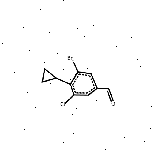 O=Cc1cc(Cl)c(C2CC2)c(Br)c1